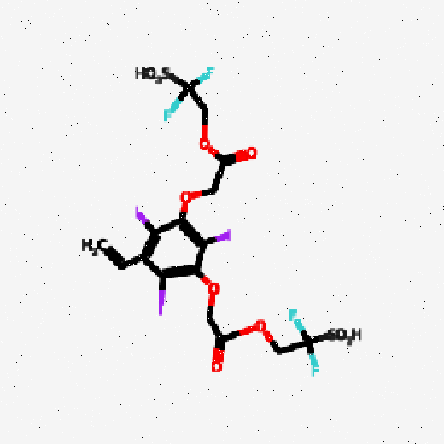 C=Cc1c(I)c(OCC(=O)OCC(F)(F)S(=O)(=O)O)c(I)c(OCC(=O)OCC(F)(F)S(=O)(=O)O)c1I